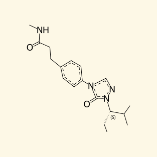 CC[C@@H](C(C)C)n1ncn(-c2ccc(CCC(=O)NC)cc2)c1=O